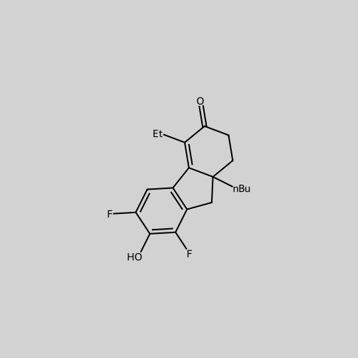 CCCCC12CCC(=O)C(CC)=C1c1cc(F)c(O)c(F)c1C2